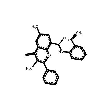 C=Cc1ccccc1N[C@H](C)c1cc(C)cc2c(=O)c(C)c(-c3ccccc3)oc12